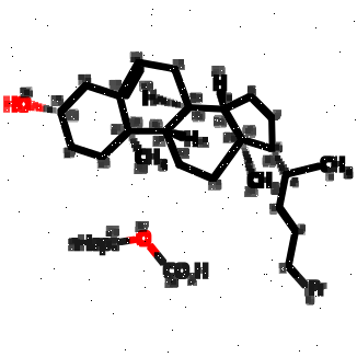 CC(C)CCCC(C)[C@H]1CC[C@H]2[C@@H]3CC=C4C[C@@H](O)CC[C@]4(C)[C@H]3CC[C@]12C.CCCCCCCOC(=O)O